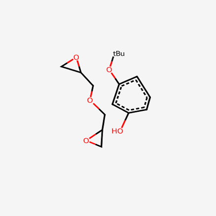 C(OCC1CO1)C1CO1.CC(C)(C)Oc1cccc(O)c1